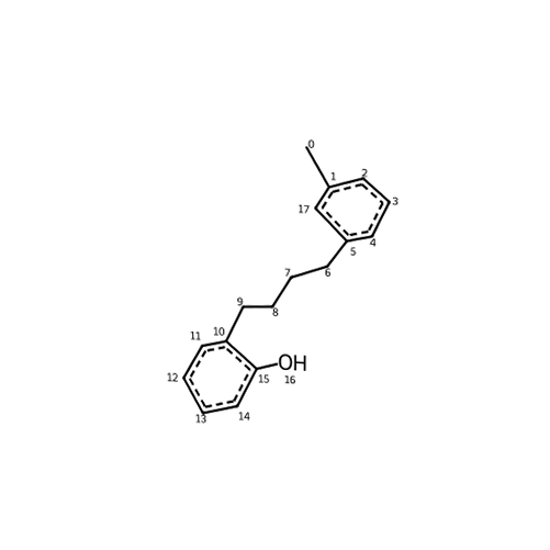 Cc1cccc(CCCCc2ccccc2O)c1